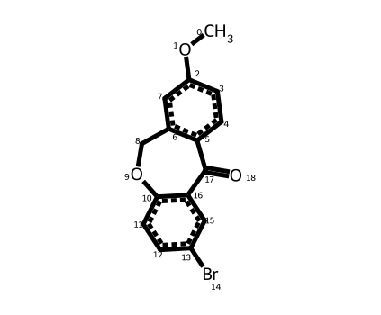 COc1ccc2c(c1)COc1ccc(Br)cc1C2=O